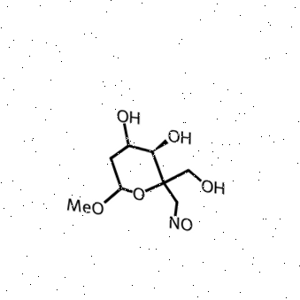 COC1CC(O)[C@@H](O)C(CO)(CN=O)O1